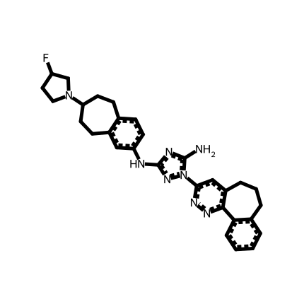 Nc1nc(Nc2ccc3c(c2)CCC(N2CCC(F)C2)CC3)nn1-c1cc2c(nn1)-c1ccccc1CCC2